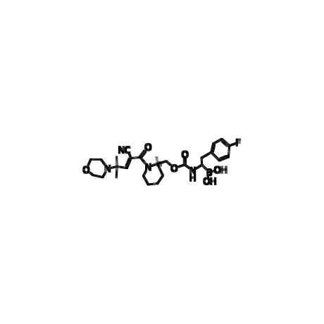 CC(C)(C=C(C#N)C(=O)N1CCCC[C@]1(C)COC(=O)NC(Cc1ccc(F)cc1)B(O)O)N1CCOCC1